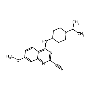 COc1ccc2c(NC3CCN(C(C)C)CC3)nc(C#N)nc2c1